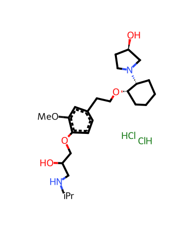 COc1cc(CCO[C@H]2CCCC[C@H]2N2CC[C@@H](O)C2)ccc1OCC(O)CNC(C)C.Cl.Cl